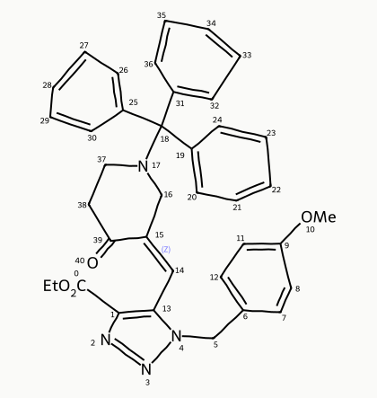 CCOC(=O)c1nnn(Cc2ccc(OC)cc2)c1/C=C1/CN(C(c2ccccc2)(c2ccccc2)c2ccccc2)CCC1=O